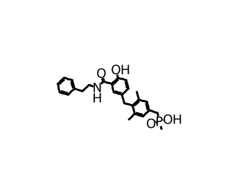 Cc1cc(CP(C)(=O)O)cc(C)c1Cc1ccc(O)c(C(=O)NCCc2ccccc2)c1